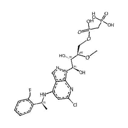 CO[C@H](COP(=O)(O)CP(=O)(O)O)[C@@H](O)[C@@H](O)n1ncc2c(N[C@@H](C)c3ccccc3F)cc(Cl)nc21